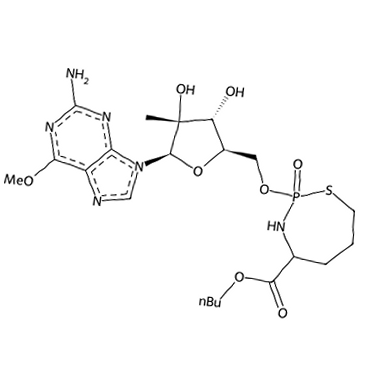 CCCCOC(=O)C1CCCSP(=O)(OC[C@H]2O[C@@H](n3cnc4c(OC)nc(N)nc43)[C@](C)(O)[C@@H]2O)N1